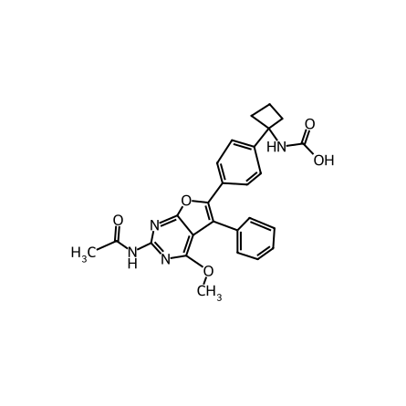 COc1nc(NC(C)=O)nc2oc(-c3ccc(C4(NC(=O)O)CCC4)cc3)c(-c3ccccc3)c12